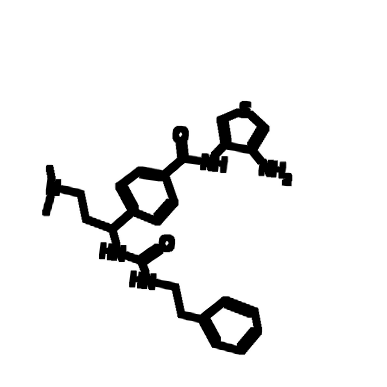 CN(C)CCC(NC(=O)NCCc1ccccc1)c1ccc(C(=O)Nc2cscc2N)cc1